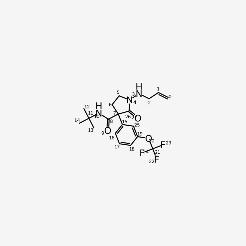 C=CCNN1CCC(C(=O)NC(C)(C)C)(c2cccc(OC(F)(F)F)c2)C1=O